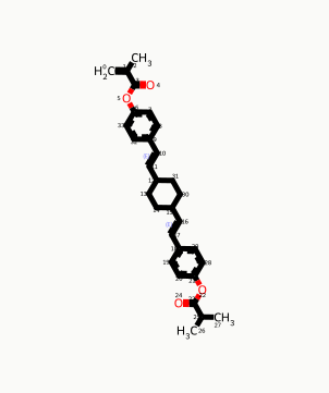 C=C(C)C(=O)Oc1ccc(/C=C/C2CCC(/C=C/c3ccc(OC(=O)C(C)C)cc3)CC2)cc1